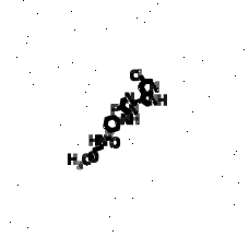 COCCNC(=O)[C@@H]1CCC[C@H](Nc2nc(-c3c[nH]c4ncc(Cl)cc34)ncc2F)C1